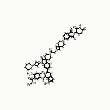 Cc1cc(F)c(Nc2nc(-c3ccc4c(c3)N(C3CC(N5CCCCC5)C3)C(=O)C43CCN(C(=O)CN4CC5(CCN(c6ccc7c(c6)C(=O)N(C6CCC(=O)NC6=O)C7=O)CC5)C4)CC3)cc3ncn(C(C)C)c23)cc1C(=O)NC(C)C